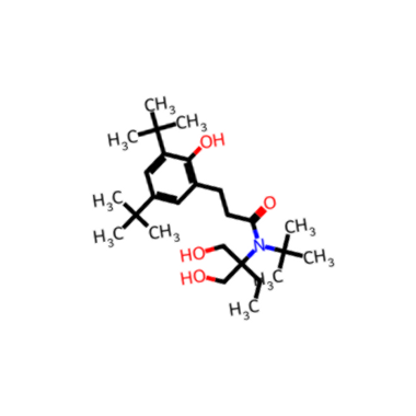 CCC(CO)(CO)N(C(=O)CCc1cc(C(C)(C)C)cc(C(C)(C)C)c1O)C(C)(C)C